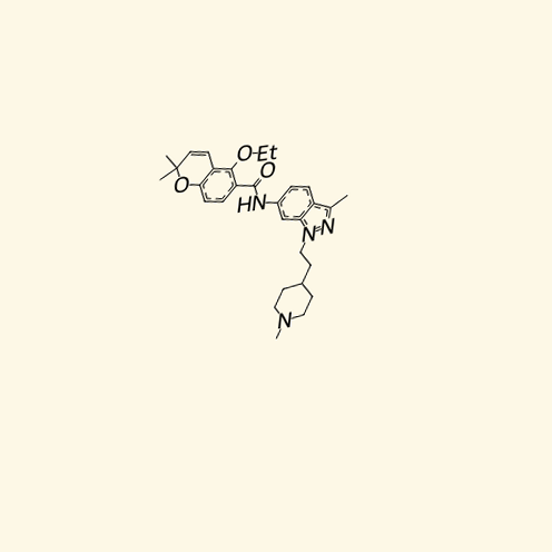 CCOc1c(C(=O)Nc2ccc3c(C)nn(CCC4CCN(C)CC4)c3c2)ccc2c1C=CC(C)(C)O2